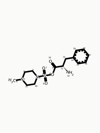 CN1CCN(S(=O)(=O)OC(=O)[C@@H](N)Cc2ccccc2)CC1